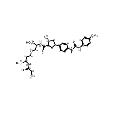 COc1ccc(NC(=O)Nc2ccc(C3CC(C(=O)NC(COCCC(NC(=O)CC(C)(C)C)C(=O)O)C(=O)O)N(C(C)=O)C3)cc2)cc1